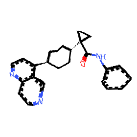 O=C(Nc1ccccc1)C1([C@H]2CC[C@H](c3ccnc4ccncc43)CC2)CC1